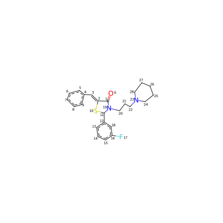 O=C1C(=Cc2ccccc2)SC(c2cccc(F)c2)N1CCCN1CCCCC1